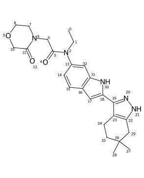 CCN(C(=O)CN1CCOCC1=O)c1ccc2cc(-c3n[nH]c4c3CCC(C)(C)C4)[nH]c2c1